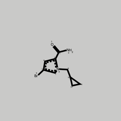 NC(=O)c1cc(Br)cn1CC1CC1